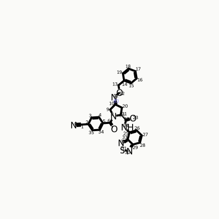 N#Cc1ccc(C(=O)N2C/C(=N/OCc3ccccc3)C[C@H]2C(=O)Nc2cccc3nsnc23)cc1